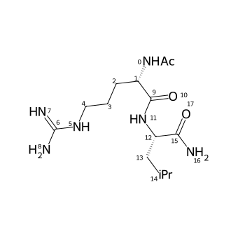 CC(=O)N[C@@H](CCCNC(=N)N)C(=O)N[C@@H](CC(C)C)C(N)=O